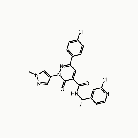 C[C@H](NC(=O)c1cc(-c2ccc(Cl)cc2)nn(-c2cnn(C)c2)c1=O)c1ccnc(Cl)c1